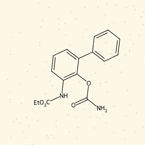 CCOC(=O)Nc1cccc(-c2ccccc2)c1OC(N)=O